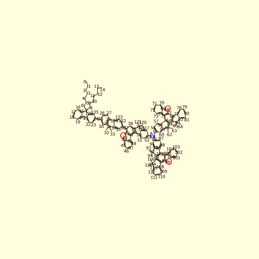 CCCCCCCC1(CCCCCCC)c2ccccc2-c2ccc(-c3ccc4c(c3)C(C)(C)c3cc(-c5cc6c(c7c5oc5ccccc57)-c5ccc(N(c7ccc8c(c7)C(C)(C)c7c9c(c%10oc%11ccccc%11c%10c7-8)-c7ccccc7C9(C)C)c7ccc8c(c7)C(C)(C)c7c9c(c%10oc%11ccccc%11c%10c7-8)-c7ccccc7C9(C)C)cc5C6(C)C)ccc3-4)cc21